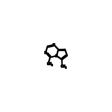 Cc1ccc2ncnc(C)n12